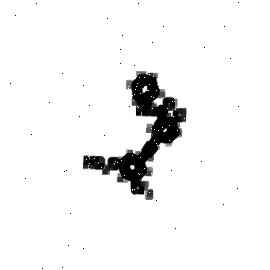 O=C(O)c1cc(C#Cc2ccc(Cl)c(C(=O)Nc3ccccn3)c2)cc(C(F)(F)F)c1